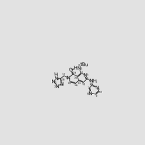 CC(C)(C)Nc1nc(Nc2cnccn2)cc2ccn(Cc3nnn[nH]3)c(=O)c12